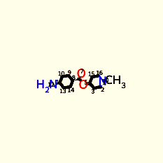 CN1CCC(OC(=O)[C@H]2CC[C@H](N)CC2)CC1